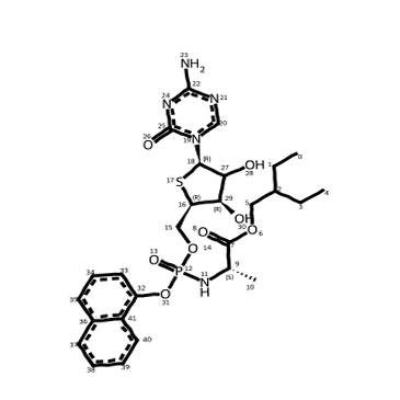 CCC(CC)COC(=O)[C@H](C)NP(=O)(OC[C@H]1S[C@@H](n2cnc(N)nc2=O)C(O)[C@H]1O)Oc1cccc2ccccc12